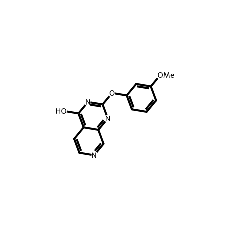 COc1cccc(Oc2nc(O)c3ccncc3n2)c1